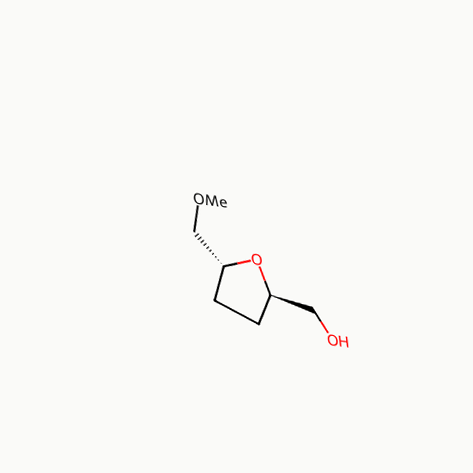 COC[C@H]1CC[C@H](CO)O1